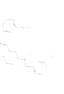 CC(=O)Nc1cc(Oc2ccc3c(c2)CC(C(=O)Nc2cccc(C(C)(C)C)c2)CC3)ccn1